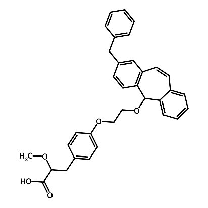 COC(Cc1ccc(OCCOC2c3ccccc3C=Cc3cc(Cc4ccccc4)ccc32)cc1)C(=O)O